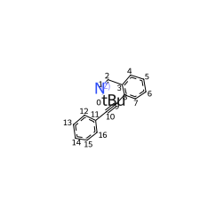 CC(C)(C)/N=C\c1ccccc1C#Cc1ccccc1